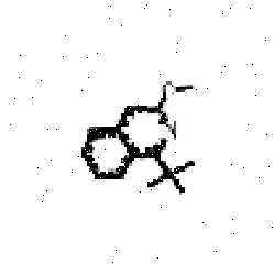 COc1cc2ccccc2c(C(C)(C)C)n1